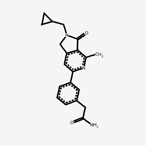 Cc1nc(-c2cccc(CC(N)=O)c2)cc2c1C(=O)N(CC1CC1)C2